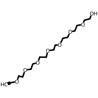 C#COCCOCCOCCOCCOCCOCCOCCO